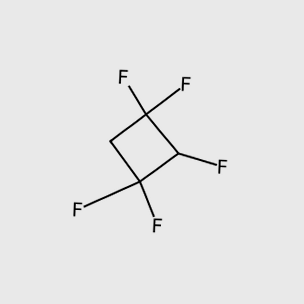 FC1C(F)(F)CC1(F)F